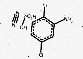 N#N.Nc1cc(Cl)ccc1Cl.O=S(=O)(O)O